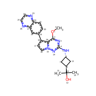 COc1nc(N[C@H]2C[C@H](C(C)(C)O)C2)nn2ccc(-c3ccc4nccnc4c3)c12